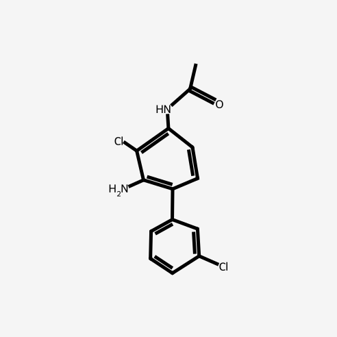 CC(=O)Nc1ccc(-c2cccc(Cl)c2)c(N)c1Cl